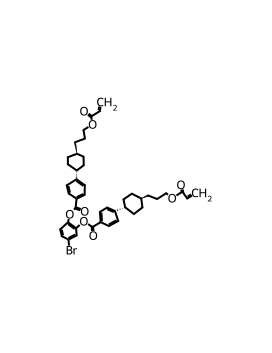 C=CC(=O)OCCC[C@H]1CC[C@H](c2ccc(C(=O)Oc3ccc(Br)cc3OC(=O)c3ccc([C@H]4CC[C@H](CCCOC(=O)C=C)CC4)cc3)cc2)CC1